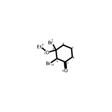 CCOC1(Br)CCCC(=O)C1Br